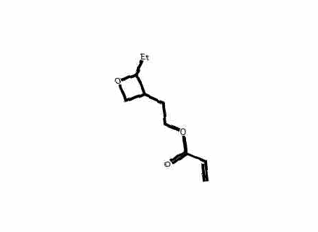 C=CC(=O)OCCC1COC1CC